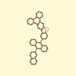 c1ccc2cc(-c3c4ccccc4c(-c4ccc5oc6cc7c8ccccc8c8ccccc8c7cc6c5c4)c4ccccc34)ccc2c1